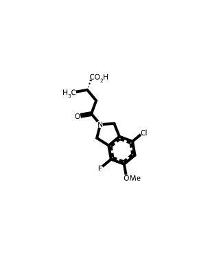 COc1cc(Cl)c2c(c1F)CN(C(=O)C[C@H](C)C(=O)O)C2